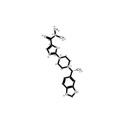 C[C@H](c1ccc2c(c1)OCO2)N1CCN(c2ncc(C(=O)N(C)C)s2)CC1